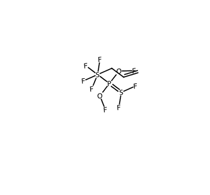 C=CCS(F)(F)(F)(F)P(OF)(OF)=S(F)F